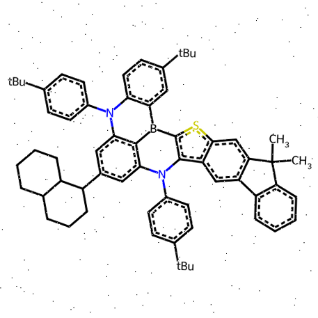 CC(C)(C)c1ccc(N2c3ccc(C(C)(C)C)cc3B3c4sc5cc6c(cc5c4N(c4ccc(C(C)(C)C)cc4)c4cc(C5CCCC7CCCCC75)cc2c43)-c2ccccc2C6(C)C)cc1